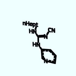 CCCCCCCNC(=NC#N)Nc1cccnc1